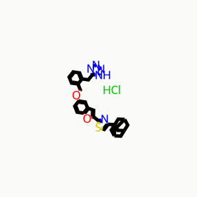 Cl.c1ccc(Cc2nnn[nH]2)c(COc2ccc3oc(-c4nc(C56CC7CC(CC(C7)C5)C6)cs4)cc3c2)c1